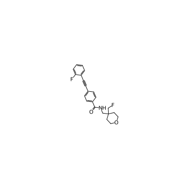 O=C(NCC1(CF)CCOCC1)c1ccc(C#Cc2ccccc2F)cc1